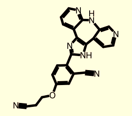 N#CCCOc1ccc(-c2nc3c([nH]2)-c2ccncc2Nc2ncccc2-3)c(C#N)c1